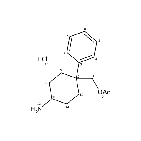 CC(=O)OCC1(c2ccccc2)CCC(N)CC1.Cl